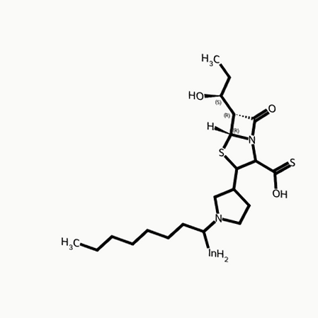 CCCCCCC[CH]([InH2])N1CCC(C2S[C@@H]3[C@H]([C@@H](O)CC)C(=O)N3C2C(O)=S)C1